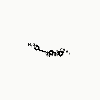 Cc1ccc2[nH]c(-c3ccc4c(c3)ncn4CCCCC3CCN(C)CC3)nc2c1C